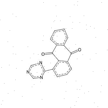 O=C1c2ccccc2C(=O)c2c1cccc2-c1ncncn1